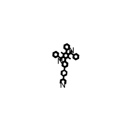 Cc1c2c(-c3ccccc3)nc3cc(C4C=CC(c5ccncc5)=CC4)ccc3c2c(C)c2c(-c3ccccc3)nc3ccccc3c12